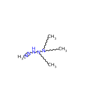 CCCCCCCCCCN(CCCCCCCCCC)CCN(CCCCCCCCCC)CCNCCN1CCN(C)CC1